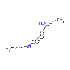 CCCCCCCCNC#Cc1ccc2c(ccc3c4ccc5cc(C#CC(N)CCCCCCC)ccc5c4sc23)c1